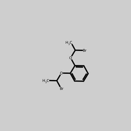 CC(Br)Oc1ccccc1OC(C)Br